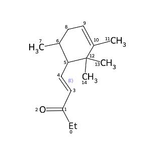 CCC(=O)/C=C/C1C(C)CC=C(C)C1(C)C